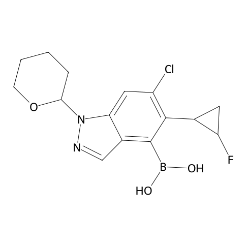 OB(O)c1c(C2CC2F)c(Cl)cc2c1cnn2C1CCCCO1